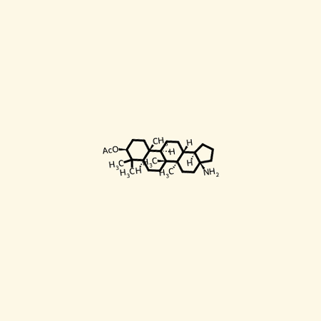 CC(=O)O[C@H]1CC[C@]2(C)[C@H]3CC[C@@H]4[C@H]5CCC[C@]5(N)CC[C@@]4(C)[C@]3(C)CC[C@H]2C1(C)C